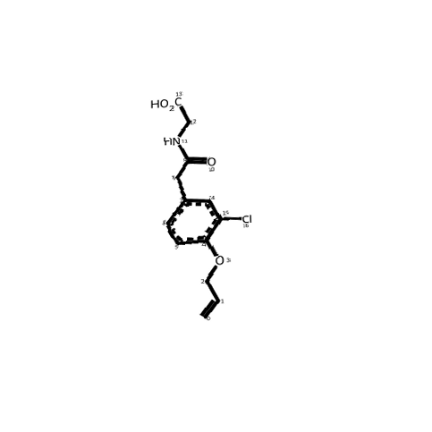 C=CCOc1ccc(CC(=O)NCC(=O)O)cc1Cl